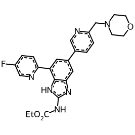 CCOC(=O)Nc1nc2cc(-c3ccc(CN4CCOCC4)nc3)cc(-c3ccc(F)cn3)c2[nH]1